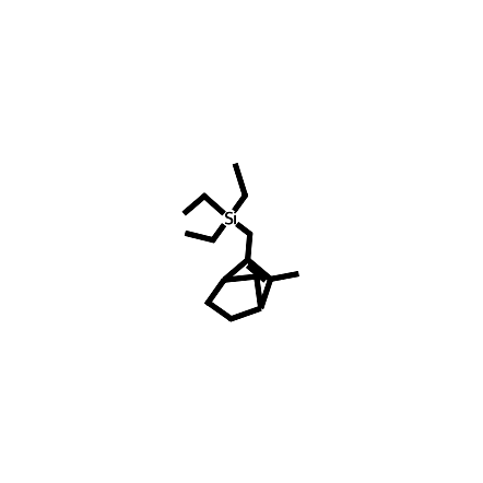 CC[Si](CC)(CC)CC1=C(C)C2CCC1C2